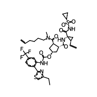 C=CCCCCN(C)C(=O)[C@@H]1C[C@H](OC(=O)Nc2cc(C(F)(F)F)ccc2-c2nc(CC)cs2)C[C@H]1C(=O)N[C@]1(C(=O)NS(=O)(=O)C2CC2)C[C@H]1C=C